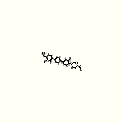 B=Cc1ccc(-c2ccc(-c3ccc(C4CCC(C=C)OC4)c(F)c3F)cc2)c(F)c1F